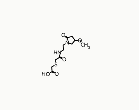 COC1CC(=O)N(CCNC(=O)CSCC(=O)O)C1